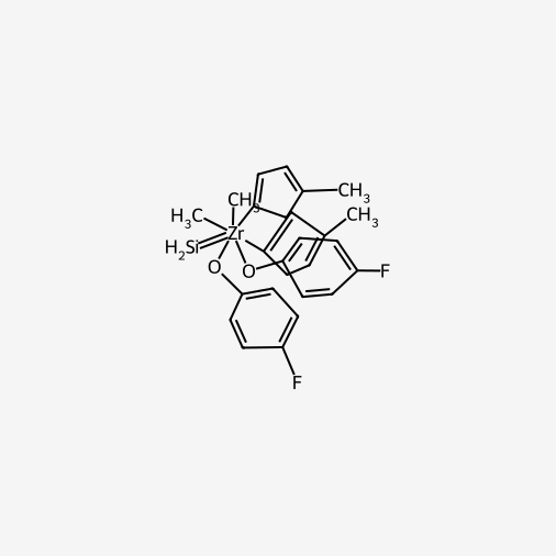 CC1=CC[C]([Zr]([CH3])([CH3])(=[SiH2])([O]c2ccc(F)cc2)([O]c2ccc(F)cc2)[C]2=CC=C(C)C2)=C1